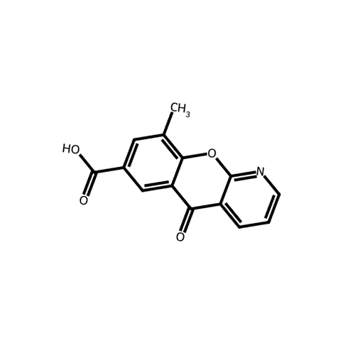 Cc1cc(C(=O)O)cc2c(=O)c3cccnc3oc12